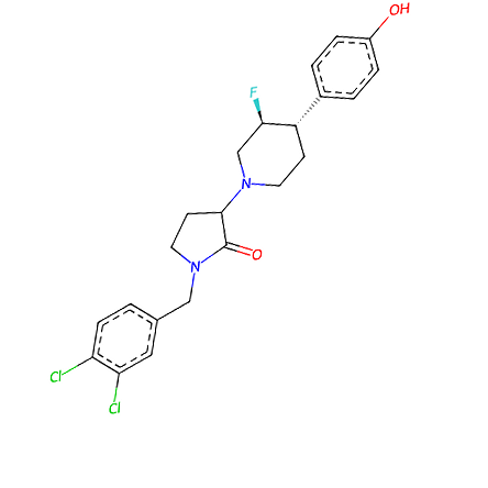 O=C1C(N2CC[C@@H](c3ccc(O)cc3)[C@H](F)C2)CCN1Cc1ccc(Cl)c(Cl)c1